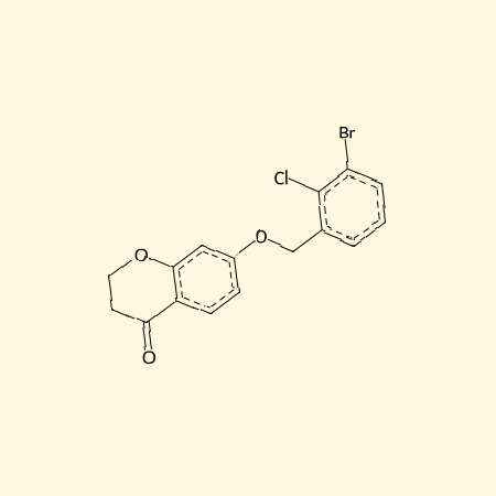 O=C1CCOc2cc(OCc3cccc(Br)c3Cl)ccc21